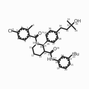 Cc1cc(Cl)ccc1C(=O)N1CCCC(C(=O)Nc2cccc(C(C)(C)C)c2)[C@@H]1c1ccc(CCC(C)(C)O)cc1